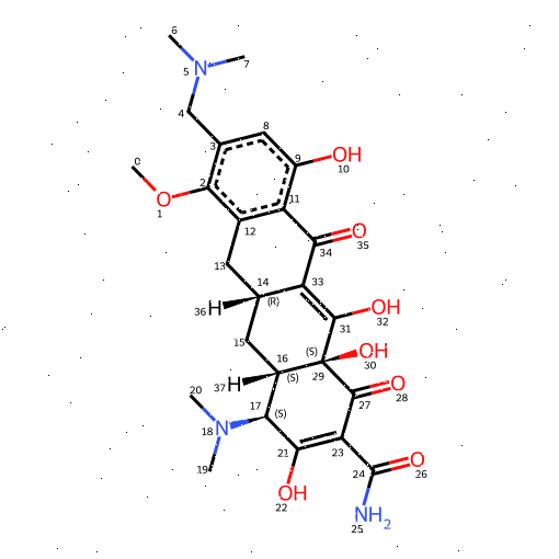 COc1c(CN(C)C)cc(O)c2c1C[C@H]1C[C@H]3[C@H](N(C)C)C(O)=C(C(N)=O)C(=O)[C@@]3(O)C(O)=C1C2=O